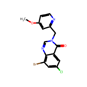 COc1ccnc(Cn2cnc3c(Br)cc(Cl)cc3c2=O)c1